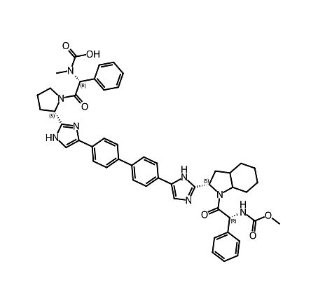 COC(=O)N[C@@H](C(=O)N1C2CCCCC2C[C@H]1c1ncc(-c2ccc(-c3ccc(-c4c[nH]c([C@@H]5CCCN5C(=O)[C@@H](c5ccccc5)N(C)C(=O)O)n4)cc3)cc2)[nH]1)c1ccccc1